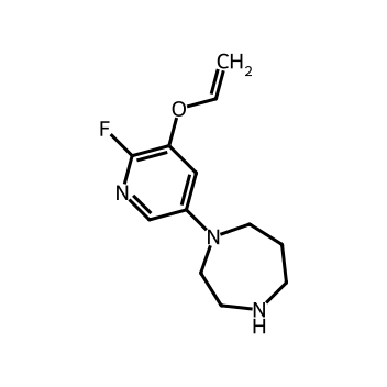 C=COc1cc(N2CCCNCC2)cnc1F